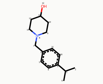 CC(C)c1ccc(CN2CCC(O)CC2)cc1